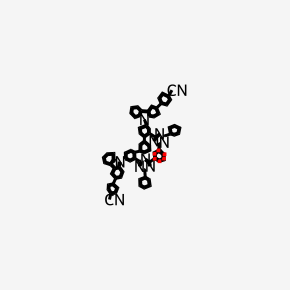 N#Cc1ccc(-c2ccc3c(c2)c2ccccc2n3-c2ccc(-c3cccc(-c4ccc(-n5c6ccccc6c6cc(-c7ccc(C#N)cc7)ccc65)cc4-c4nc(-c5ccccc5)nc(-c5ccccc5)n4)c3)c(-c3nc(-c4ccccc4)nc(-c4ccccc4)n3)c2)cc1